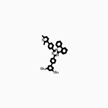 Cc1ccc(-c2ccc(-c3nc(-c4ccc(-c5cc(C(C)(C)C)cc(C(C)(C)C)c5)cc4)nc(-c4ccccc4-c4ccccc4)n3)cc2)c(C)n1